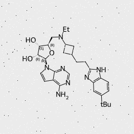 CCN(C[C@H]1O[C@@H](n2ccc3c(N)ncnc32)[C@H](O)[C@@H]1O)C1CC(CCc2nc3cc(C(C)(C)C)ccc3[nH]2)C1